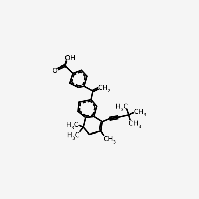 C=C(c1ccc(C(=O)O)cc1)c1ccc2c(c1)C(C#CC(C)(C)C)=C(C)CC2(C)C